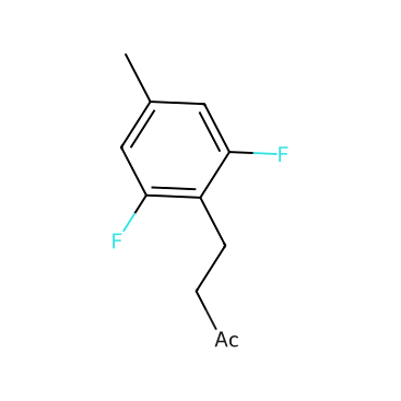 CC(=O)CCc1c(F)cc(C)cc1F